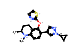 CC1CCc2c(ccc(-c3cnn(C4CC4)c3)c2Oc2nccs2)N1C